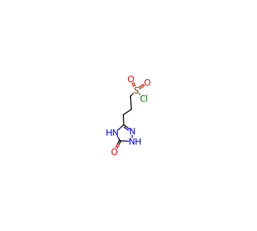 O=c1[nH]nc(CCCS(=O)(=O)Cl)[nH]1